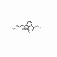 COCCn1[nH]c(=O)c2c(C(N)=O)[c]ccc21